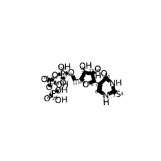 O=c1[nH]c(=S)[nH]cc1[C@@H]1O[C@H](COP(=O)(O)OP(=O)(O)OP(=O)(O)O)[C@H](O)C1O